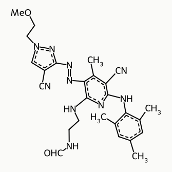 COCCn1cc(C#N)c(N=Nc2c(NCCNC=O)nc(Nc3c(C)cc(C)cc3C)c(C#N)c2C)n1